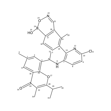 Cc1cc(C(C)Nc2ccc(Cl)nc2-c2ccc3c(c2C)C=NOB3O)c2oc(C(C)C)c(C)c(=O)c2c1